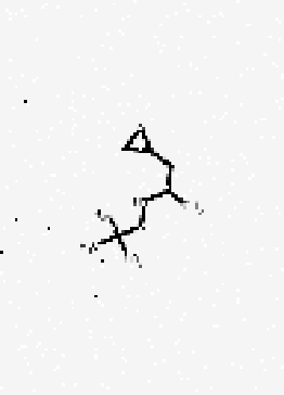 CC(CC1CC1)NSC(C)(C)C